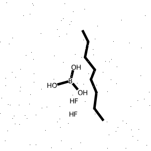 CCCCCCCC.F.F.OB(O)O